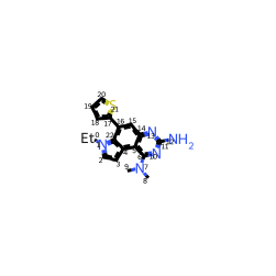 CCn1ccc2c3c(N(C)C)nc(N)nc3cc(-c3cccs3)c21